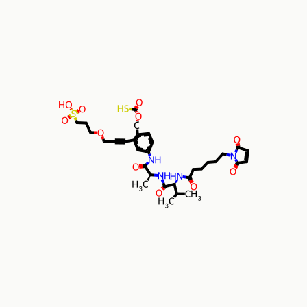 CC(C)[C@H](NC(=O)CCCCCN1C(=O)C=CC1=O)C(=O)N[C@@H](C)C(=O)Nc1ccc(COC(=O)S)c(C#CCOCCCS(=O)(=O)O)c1